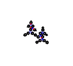 Cc1ccc(N2c3ccc(C)cc3B3c4ccc(N(c5ccc(-c6ccccc6)cc5)c5ccc(-c6ccc(-c7cccc(N8c9cc(N(c%10ccc(-c%11ccccc%11)cc%10)c%10ccc(-c%11ccccc%11)cc%10)ccc9B9c%10cc(C(C)(C)C)ccc%10N(c%10ccc(C(C)(C)C)cc%10)c%10cccc8c%109)c7)cc6)cc5)cc4N(c4ccc(C)cc4)c4cccc2c43)cc1